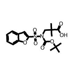 CC(C)(C)OC(=O)N(CC(C)(C)C(=O)O)S(=O)(=O)c1cc2ccccc2o1